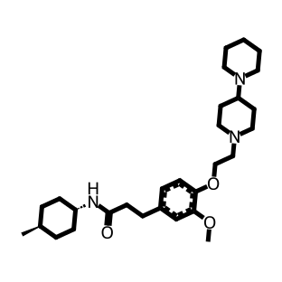 COc1cc(CCC(=O)N[C@H]2CC[C@H](C)CC2)ccc1OCCN1CCC(N2CCCCC2)CC1